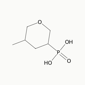 CC1COCC(P(=O)(O)O)C1